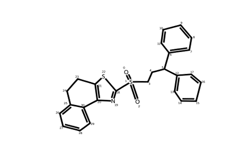 O=S(=O)(CCC(c1ccccc1)c1ccccc1)c1nc2c(s1)CCc1c[c]ccc1-2